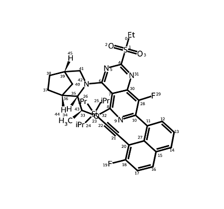 CCS(=O)(=O)c1nc2c3c(nc(-c4cccc5ccc(F)c(C#C[Si](C(C)C)(C(C)C)C(C)C)c45)c(F)c3n1)O[C@@H](C)[C@@H]1[C@@H]3CC[C@@H](C3)CN21